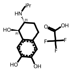 CC(C)N[C@@H]1CCc2cc(O)c(O)cc2[C@H]1O.O=C(O)C(F)(F)F